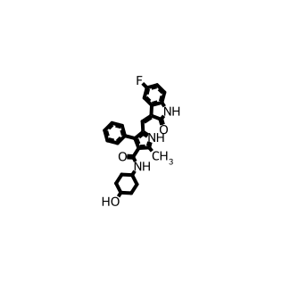 Cc1[nH]c(C=C2C(=O)Nc3ccc(F)cc32)c(-c2ccccc2)c1C(=O)NC1CCC(O)CC1